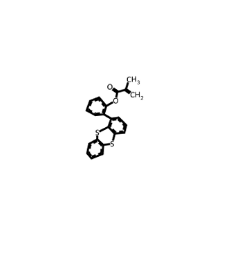 C=C(C)C(=O)Oc1ccccc1-c1cccc2c1Sc1ccccc1S2